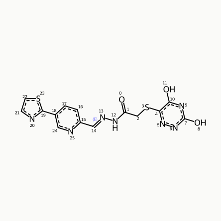 O=C(CSc1nnc(O)nc1O)N/N=C/c1ccc(-c2nccs2)cn1